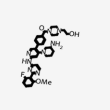 COc1cccc(F)c1-c1nccc(Nc2cc(N3CCC[C@H](N)C3)c(-c3ccc(C(=O)N4CCN(CCO)CC4)cc3)cn2)n1